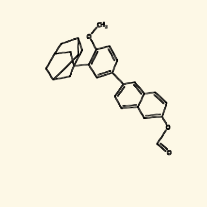 COc1ccc(-c2ccc3cc(OC=O)ccc3c2)cc1C12CC3CC(CC(C3)C1)C2